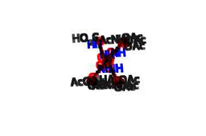 CC(=O)N[C@H]1[C@H](OCCCCCCNC(=O)CCO[C@@H]2[C@H](OCCC(=O)NCCCCCCO[C@@H]3O[C@H](COC(C)=O)[C@H](OC(C)=O)[C@H](OC(C)=O)[C@H]3NC(C)=O)C=C(C(=O)NCCCCCCNC(=O)CCC(=O)O)C[C@H]2OCCC(=O)NCCCCCCO[C@@H]2O[C@H](COC(C)=O)[C@H](OC(C)=O)[C@H](OC(C)=O)[C@H]2NC(C)=O)O[C@H](COC(C)=O)[C@H](OC(C)=O)[C@@H]1OC(C)=O